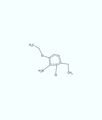 CCOc1ccc(CC)c(Cl)c1N